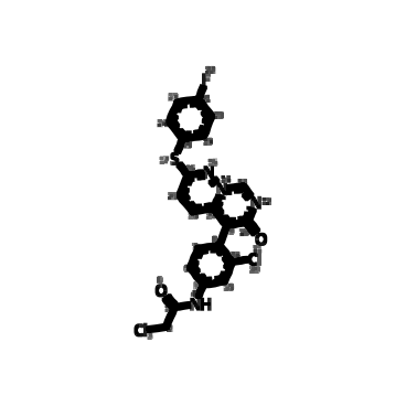 O=C(CCl)Nc1ccc(-c2c(=O)ncn3nc(Sc4ccc(F)cc4)ccc23)c(Cl)c1